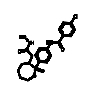 O=C(CN1CCCCOP1(=O)c1ccc(NC(=O)c2ccc(Cl)cc2)cc1)NO